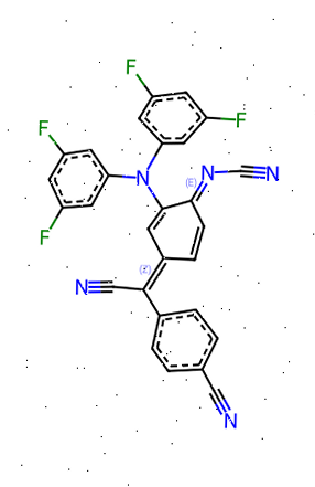 N#C/N=C1C=C/C(=C(/C#N)c2ccc(C#N)cc2)C=C\1N(c1cc(F)cc(F)c1)c1cc(F)cc(F)c1